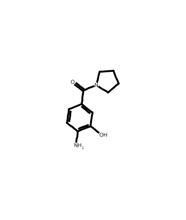 Nc1ccc(C(=O)N2CCCC2)cc1O